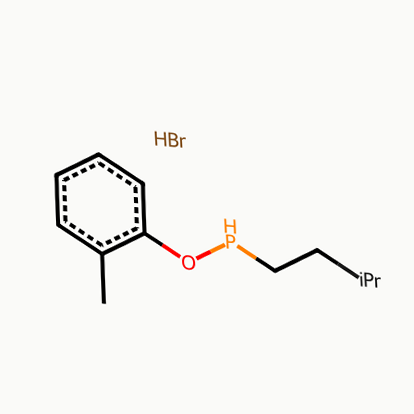 Br.Cc1ccccc1OPCCC(C)C